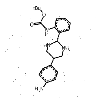 CC(C)(C)OC(=O)Nc1ccccc1C1NCC(c2ccc(N)cc2)CN1